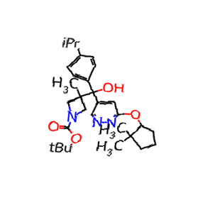 CC(C)c1ccc(C(O)(c2cnnc(OC3CCCC3(C)C)c2)C2(C)CN(C(=O)OC(C)(C)C)C2)cc1